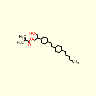 C=C(C)C(=O)OCC(CO)C1CCC(CCC2CCC(CCCCC)CC2)CC1